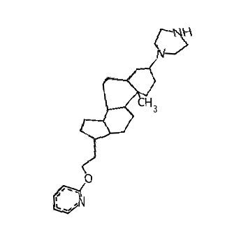 CC12CCC(N3CCNCC3)CC1CCC1C3CCC(CCOc4ccccn4)C3CCC12